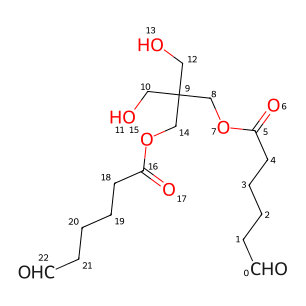 O=CCCCCC(=O)OCC(CO)(CO)COC(=O)CCCCC=O